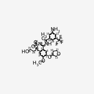 COc1cc2c(cc1O[C@H]1CCOC1)C(N[C@H](C)c1cc(N)cc(C(F)(F)F)c1)=NS(=O)(=O)N2CCO